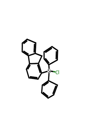 Cl[Si](c1ccccc1)(c1ccccc1)c1cccc2c1Cc1ccccc1-2